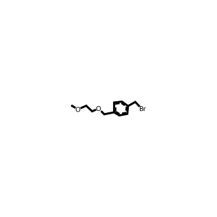 COCCOCc1ccc(CBr)cc1